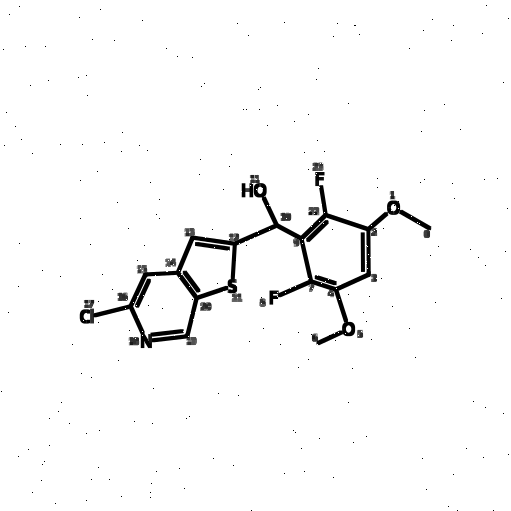 COc1cc(OC)c(F)c(C(O)c2cc3cc(Cl)ncc3s2)c1F